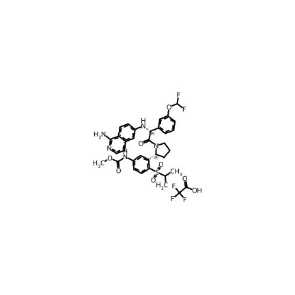 COC(=O)Nc1ccc(S(=O)(=O)C(C)C)c([C@H]2CCCN2C(=O)[C@H](Nc2ccc3c(N)nccc3c2)c2cccc(OC(F)F)c2)c1.O=C(O)C(F)(F)F